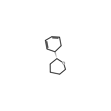 C1=CCC([C@H]2CCCCO2)C=C1